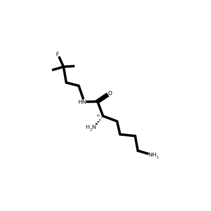 CC(C)(F)CCNC(=O)[C@@H](N)CCCCN